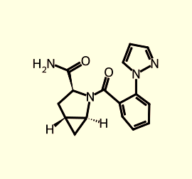 NC(=O)[C@@H]1C[C@H]2C[C@@H]2N1C(=O)c1ccccc1-n1cccn1